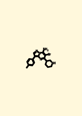 Cc1ccc(-c2cnn3c(N)c(Br)c(C4CCCNC4)nc23)cc1